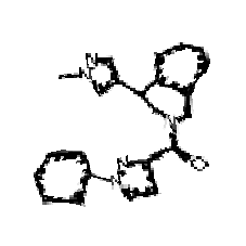 Cn1cc(C2CN(C(=O)c3ccn(-c4ccccc4)n3)Cc3ccccc32)cn1